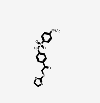 CC(=O)Nc1ccc(S(=O)(=O)Nc2ccc(C(=O)CSC3=NCCS3)cc2)cc1